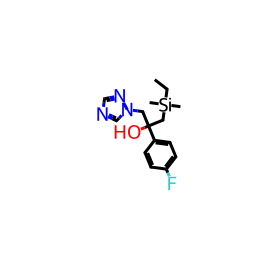 CC[Si](C)(C)CC(O)(Cn1cncn1)c1ccc(F)cc1